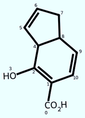 O=C(O)C1=C(O)C2C=CCC2C=C1